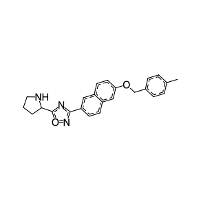 Cc1ccc(COc2ccc3cc(-c4noc(C5CCCN5)n4)ccc3c2)cc1